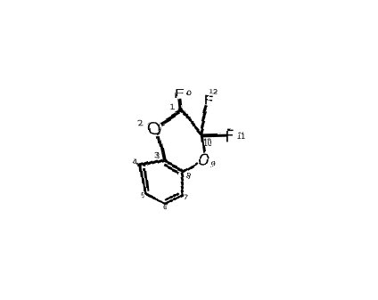 FC1Oc2[c]cccc2OC1(F)F